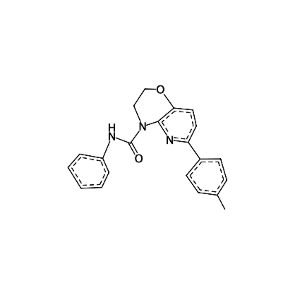 Cc1ccc(-c2ccc3c(n2)N(C(=O)Nc2ccccc2)CCO3)cc1